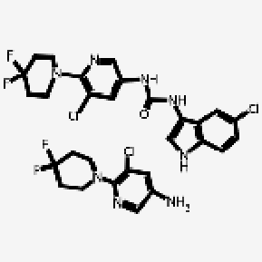 Nc1cnc(N2CCC(F)(F)CC2)c(Cl)c1.O=C(Nc1cnc(N2CCC(F)(F)CC2)c(Cl)c1)Nc1c[nH]c2ccc(Cl)cc12